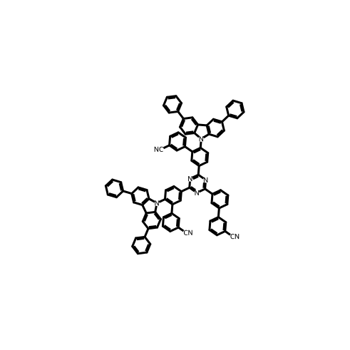 N#Cc1cccc(-c2cccc(-c3nc(-c4ccc(-n5c6ccc(-c7ccccc7)cc6c6cc(-c7ccccc7)ccc65)c(-c5cccc(C#N)c5)c4)nc(-c4ccc(-n5c6ccc(-c7ccccc7)cc6c6cc(-c7ccccc7)ccc65)c(-c5cccc(C#N)c5)c4)n3)c2)c1